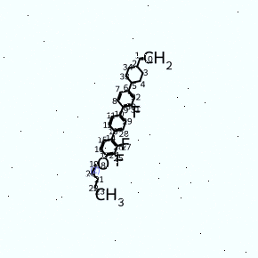 C=CC1CCC(c2ccc(-c3ccc(-c4ccc(O/C=C\CCC)c(F)c4F)cc3)c(F)c2)CC1